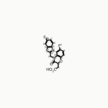 O=C(O)CC1Oc2ccc(F)cc2N(Cc2nc3ccc(F)cc3s2)C1=O